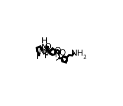 C[C@H](c1cccc(CCN)c1)n1c(=O)oc2cc(S(=O)(=O)Nc3cccc(F)n3)c(F)cc21